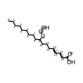 CCCCCCCCCC(CCC/C=C/C=C/C(=O)O)OOO